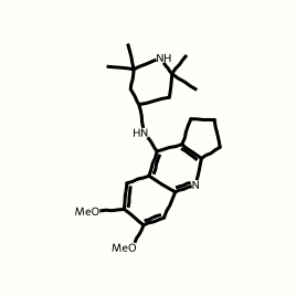 COc1cc2nc3c(c(NC4CC(C)(C)NC(C)(C)C4)c2cc1OC)CCC3